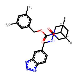 O=C(NCc1ccc2[nH]nnc2c1)C1[C@@H]2C[C@H]1CN(C(=O)OCc1cc(C(F)(F)F)cc(C(F)(F)F)c1)C2